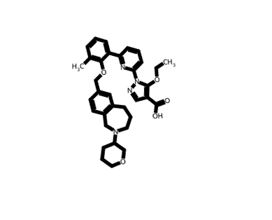 CCOc1c(C(=O)O)cnn1-c1cccc(-c2cccc(C)c2OCc2ccc3c(c2)CCCN(C2CCCOC2)C3)n1